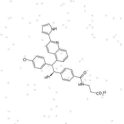 CCC[C@H](c1ccc(C(=O)NCCC(=O)O)cc1)C(c1ccc(Cl)cc1)c1cccc2nc(-c3ccc[nH]3)ccc12